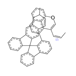 C/C=C\C1=COc2cccc3ccc(-c4cccc5c4C4(c6ccccc6-c6cc7c(cc64)C=CC(C)C7)c4ccccc4-5)c1c23